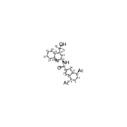 CC(=O)c1ccc(C(C)=O)c2sc(C(=O)Nc3cc(C(C)(C)O)c4ccccc4n3)cc12